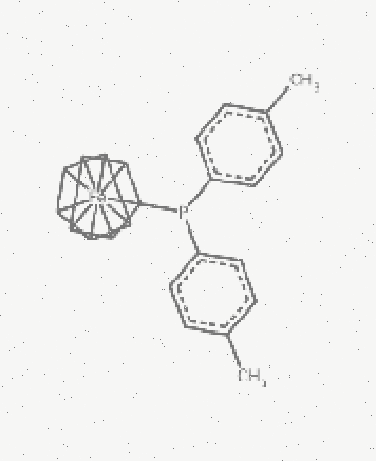 Cc1ccc(P(c2ccc(C)cc2)[C]23[CH]4[CH]5[CH]6[CH]2[Fe]56432789[CH]3[CH]2[CH]7[CH]8[CH]39)cc1